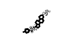 Cc1ccc(S(=O)(=O)N/N=C2\CCC3C4CC=C5C[C@@H](O[Si](C)(C)C(C)(C)C)CC[C@]5(C)C4CC[C@]23C)cc1